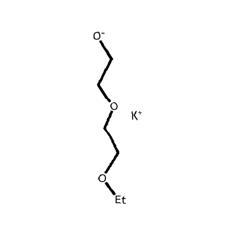 CCOCCOCC[O-].[K+]